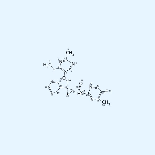 CCc1nc(C)ncc1OC[C@@]1(C2C=CC=CC2)C[C@H]1C(=O)Nc1cc(C)c(F)cn1